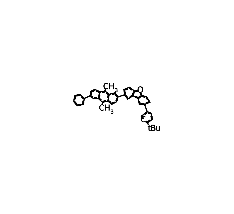 Cc1c2ccc(-c3ccc4oc5ccc(-c6ccc(C(C)(C)C)cc6)cc5c4c3)cc2c(C)c2ccc(-c3ccccc3)cc12